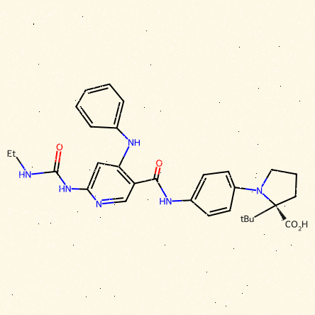 CCNC(=O)Nc1cc(Nc2ccccc2)c(C(=O)Nc2ccc(N3CCC[C@]3(C(=O)O)C(C)(C)C)cc2)cn1